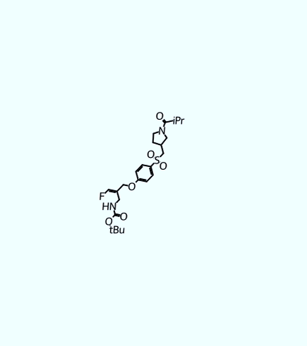 CC(C)C(=O)N1CCC(CS(=O)(=O)c2ccc(OC/C(=C/F)CNC(=O)OC(C)(C)C)cc2)C1